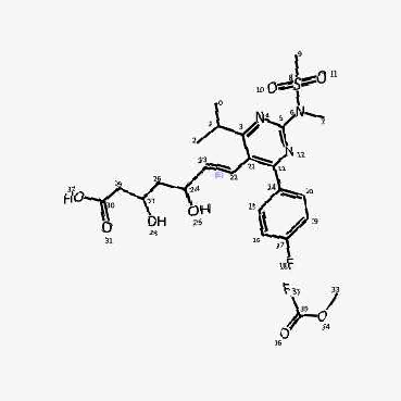 CC(C)c1nc(N(C)S(C)(=O)=O)nc(-c2ccc(F)cc2)c1/C=C/C(O)CC(O)CC(=O)O.COC(=O)F